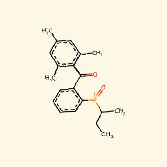 CCC(C)[PH](=O)c1ccccc1C(=O)c1c(C)cc(C)cc1C